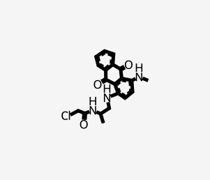 CNc1ccc(NCC(C)NC(=O)CCl)c2c1C(=O)c1ccccc1C2=O